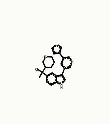 CC(Cl)(c1ccc2[nH]cc(-c3cncc(-c4ccsc4)c3)c2c1)C1CCCNC1